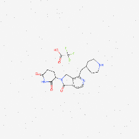 O=C(O)C(F)(F)F.O=C1CCC(N2Cc3c(ccnc3CC3CCNCC3)C2=O)C(=O)N1